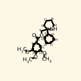 COc1cc(C(=O)OCC2(c3ccccc3)CCCCN2)cc(OC)c1OC